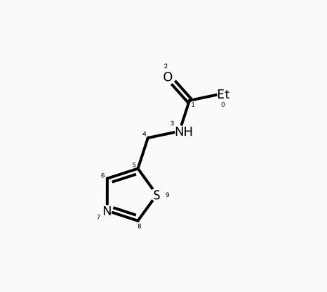 CCC(=O)NCc1cncs1